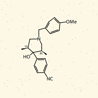 [C-]#[N+]c1ccc(C2(O)[C@H](C)CN(Cc3ccc(OC)cc3)C[C@@H]2C)cc1